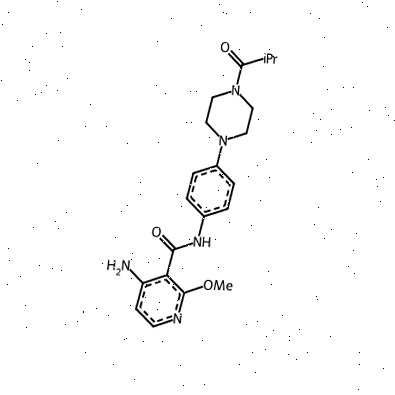 COc1nccc(N)c1C(=O)Nc1ccc(N2CCN(C(=O)C(C)C)CC2)cc1